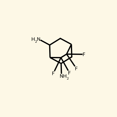 NC1CC2CC(N)C1C(F)(F)C2(F)F